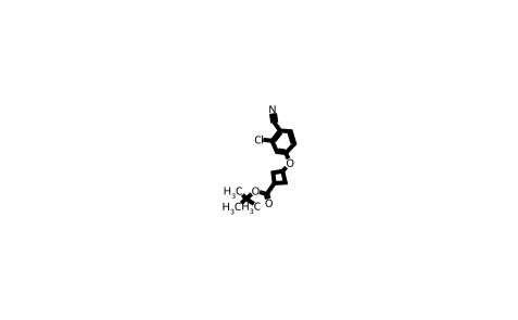 CC(C)(C)OC(=O)C1CC(Oc2ccc(C#N)c(Cl)c2)C1